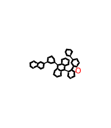 c1ccc(-c2ccc3oc4cccc(-c5c6ccccc6c(-c6cccc(-c7ccc8ccccc8c7)c6)c6ccccc56)c4c3c2)cc1